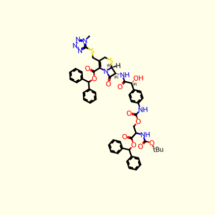 Cn1nnnc1SCC1=C(C(=O)OC(c2ccccc2)c2ccccc2)N2C(=O)[C@@H](NC(=O)[C@H](O)c3ccc(NC(=O)OCC(NC(=O)OC(C)(C)C)C(=O)OC(c4ccccc4)c4ccccc4)cc3)[C@H]2SC1